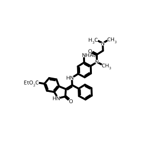 CCOC(=O)c1ccc2c(c1)NC(=O)C2=C(Nc1ccc(N(C)C(=O)CN(C)C)c(NC(C)=O)c1)c1ccccc1